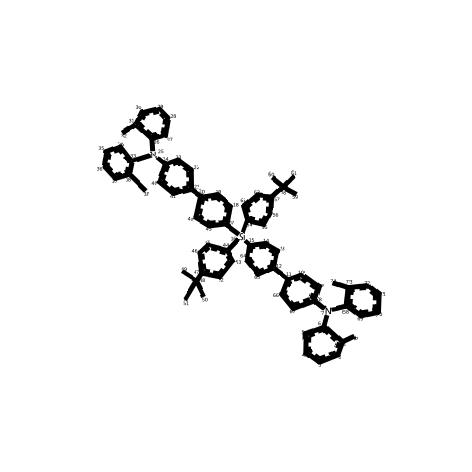 Cc1ccccc1N(c1ccc(-c2ccc([Si](c3ccc(-c4ccc(N(c5ccccc5C)c5ccccc5C)cc4)cc3)(c3ccc(C(C)(C)C)cc3)c3ccc(C(C)(C)C)cc3)cc2)cc1)c1ccccc1C